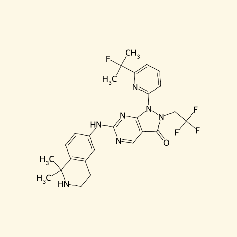 CC(C)(F)c1cccc(-n2c3nc(Nc4ccc5c(c4)CCNC5(C)C)ncc3c(=O)n2CC(F)(F)F)n1